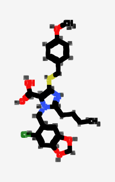 CCCCc1nc(SCc2ccc(OC)cc2)c(C(=O)O)n1Cc1cc2c(cc1Cl)OCO2